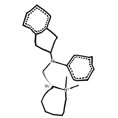 C[N+]1(C)CCCC[C@@H]1CN(c1ccccc1)C1Cc2ccccc2C1